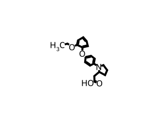 CCOc1ccccc1Oc1ccc(N2CCCC2CC(=O)O)cc1